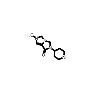 CN1C=C2C(=O)N(C3CCNCC3)CN2C1